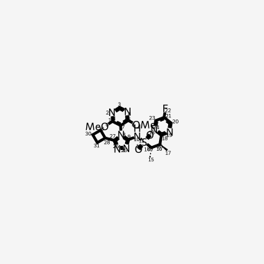 COc1ncnc(OC)c1-n1c(NS(=O)(=O)[C@@H](C)[C@H](C)c2ncc(F)cn2)nnc1C1CCC1